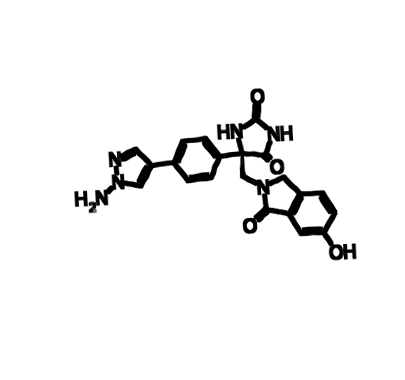 Nn1cc(-c2ccc([C@]3(CN4Cc5ccc(O)cc5C4=O)NC(=O)NC3=O)cc2)cn1